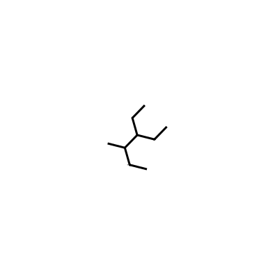 C[CH]C(C)C(CC)CC